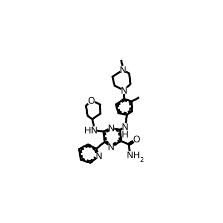 Cc1cc(Nc2nc(NC3CCOCC3)c(-c3ccccn3)nc2C(N)=O)ccc1N1CCN(C)CC1